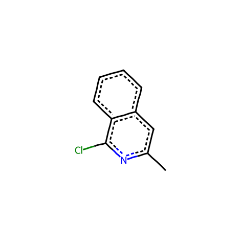 Cc1cc2ccccc2c(Cl)n1